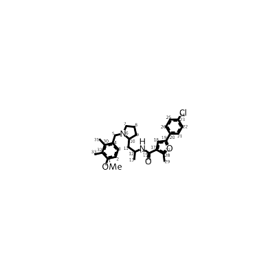 COc1ccc(CN2CCCC2CC(C)NC(=O)c2cc(-c3ccc(Cl)cc3)oc2C)c(C)c1C